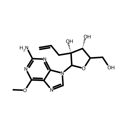 C=CC[C@]1(O)C(n2cnc3c(OC)nc(N)nc32)OC(CO)[C@H]1O